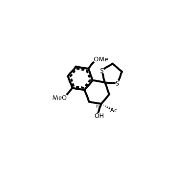 COc1ccc(OC)c2c1C[C@@](O)(C(C)=O)CC21SCCS1